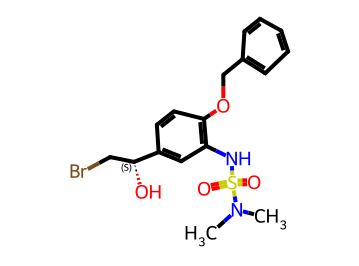 CN(C)S(=O)(=O)Nc1cc([C@H](O)CBr)ccc1OCc1ccccc1